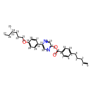 C=CCCCc1ccc(C(=O)Oc2cnc(-c3ccc(OCCC[C@@H](C)CC)cc3)cn2)cc1